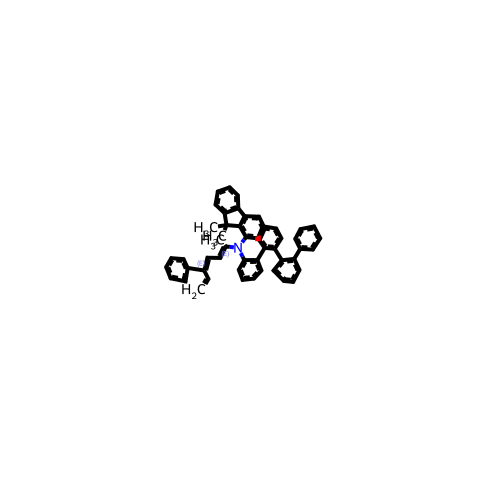 C=C/C(=C\C=C(/C)N(c1ccccc1-c1ccccc1-c1ccccc1-c1ccccc1)c1cccc2c1C(C)(C)c1ccccc1-2)c1ccccc1